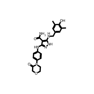 Cc1cc(CNc2[nH]nc(Nc3ccc(N4CCOCC4=O)cc3)c2C(N)=O)cc(C)c1O